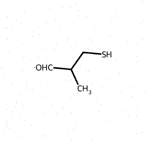 CC([C]=O)CS